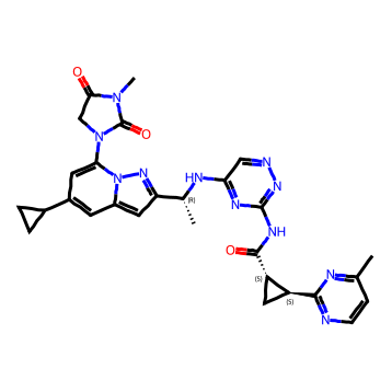 Cc1ccnc([C@H]2C[C@@H]2C(=O)Nc2nncc(N[C@H](C)c3cc4cc(C5CC5)cc(N5CC(=O)N(C)C5=O)n4n3)n2)n1